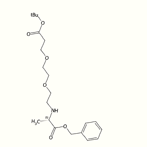 C[C@H](NCCOCCOCCC(=O)OC(C)(C)C)C(=O)OCc1ccccc1